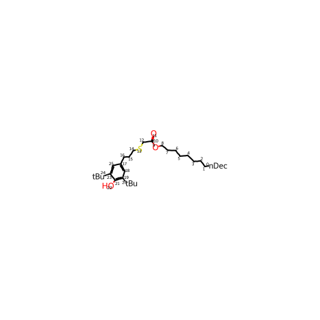 CCCCCCCCCCCCCCCCCCOC(=O)CSCCCc1cc(C(C)(C)C)c(O)c(C(C)(C)C)c1